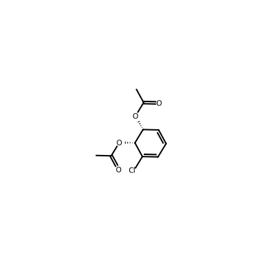 CC(=O)O[C@@H]1C=CC=C(Cl)[C@@H]1OC(C)=O